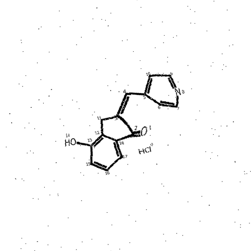 Cl.O=C1/C(=C\c2ccncc2)Cc2c(O)cccc21